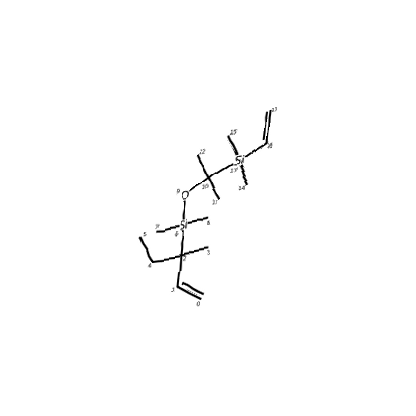 C=CC(C)(CC)[Si](C)(C)OC(C)(C)[Si](C)(C)C=C